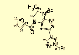 CCCn1cc(-c2cnc3c(c2)N(C(=O)c2ccco2)C[C@H](C)N3C(C)=O)cn1